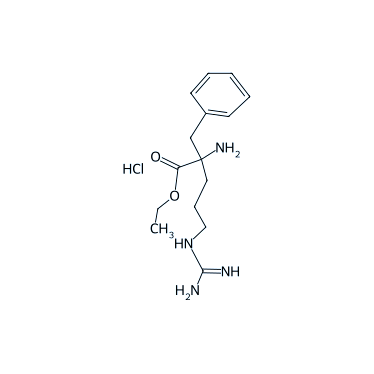 CCOC(=O)C(N)(CCCNC(=N)N)Cc1ccccc1.Cl